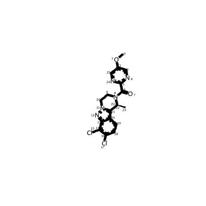 COc1cnc(C(=O)N2CCn3nc4c(Cl)c(Cl)ccc4c3[C@@H]2C)nc1